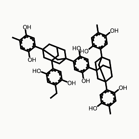 CCc1cc(O)c(C23CC4CC(c5cc(O)c(C)cc5O)(C2)CC(c2cc(O)c(C56CC7CC(c8cc(O)c(C)cc8O)(CC(c8cc(O)c(C)cc8O)(C7)C5)C6)cc2O)(C4)C3)cc1O